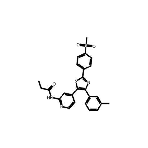 CCC(=O)Nc1cc(-c2sc(-c3ccc(S(C)(=O)=O)cc3)nc2-c2cccc(C)c2)ccn1